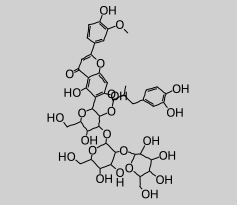 COc1cc(-c2cc(=O)c3c(O)c(C4OC(CO)C(O)C(OC5OC(CO)C(O)C(O)C5OC5OC(CO)C(O)C(O)C5O)C4OC(=O)C(C)Cc4ccc(O)c(O)c4)c(O)cc3o2)ccc1O